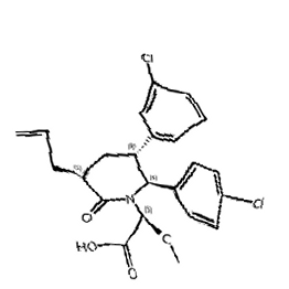 C=CC[C@H]1C[C@H](c2cccc(Cl)c2)[C@@H](c2ccc(Cl)cc2)N([C@@H](CC)C(=O)O)C1=O